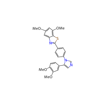 COc1cc(OC)c2sc(-c3ccc(-n4cncc4-c4ccc(OC)c(OC)c4)cc3)nc2c1